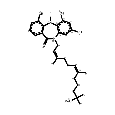 CCN1c2c(O)cccc2C(=O)N(CC=C(C)CCC=C(C)CCCC(C)(C)OC)c2cc(O)cc(O)c21